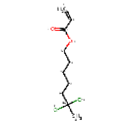 C=CC(=O)OCCCCCC([SiH3])(Cl)Cl